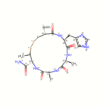 CC(=O)N[C@H]1CSSC(C)[C@@H](C(N)=O)NC(=O)[C@H](C(C)C)NC(=O)[C@H](C)NC(=O)[C@H](Cc2c[nH]cn2)NC1=O